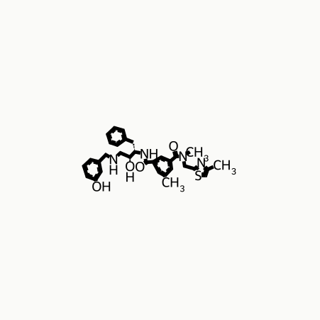 Cc1cc(C(=O)N[C@@H](Cc2ccccc2)[C@H](O)CNCc2cccc(O)c2)cc(C(=O)N(C)Cc2nc(C)cs2)c1